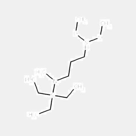 CC[Si](CC)(CC)N(C)CCC[SiH](OC)OC